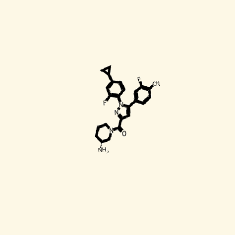 N#Cc1ccc(-c2cc(C(=O)N3CCC[C@@H](N)C3)nn2-c2ccc(C3CC3)cc2F)cc1F